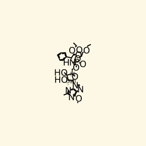 CCOC(=O)COP(=O)(NC(C(=O)OCC)c1ccccc1)OC[C@H]1O[C@@H](n2cnc3c(OC)nc(C)nc32)[C@@](C)(O)C1O